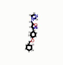 c1ccc(COc2ccc(-c3cc(Cn4ccnc4)on3)cc2)cc1